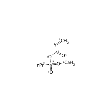 C=CC(=O)OS(=O)(=O)CCC.[CaH2]